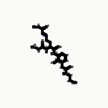 COC(=O)/C=C/CCC(NC(=O)OC(C)(C)C)C(=O)Nc1cccn(CC(=O)NCCC(C)C)c1=O